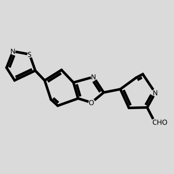 O=Cc1cc(-c2nc3cc(-c4ccns4)ccc3o2)ccn1